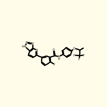 CC(Oc1ccc(NC(=O)c2cc(-c3ccc4[nH]nnc4n3)ccc2F)cc1)C(F)(F)F